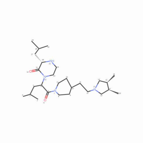 CC(C)CC(C(=O)N1CCC(CCN2C[C@@H](C)[C@@H](C)C2)CC1)N1CCN[C@@H](CC(C)C)C1=O